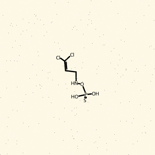 OP(O)(=S)ONCC=C(Cl)Cl